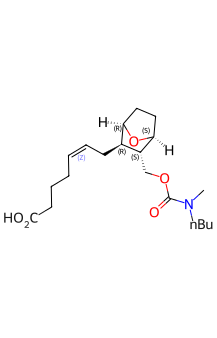 CCCCN(C)C(=O)OC[C@@H]1[C@@H](C/C=C\CCCC(=O)O)[C@H]2CC[C@@H]1O2